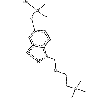 CC(C)(C)[Si](C)(C)Oc1ccc2c(cnn2COCC[Si](C)(C)C)c1